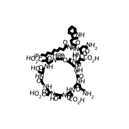 CC(C)CCCCCCCCC(=O)NC(Cc1c[nH]c2ccccc12)C(=O)NC(CC(N)=O)C(=O)NC(CC(=O)O)C(=O)NC1C(=O)NCC(=O)NC(CCCN)C(=O)NC(CC(=O)O)C(=O)NC(C)C(=O)NC(CC(=O)O)C(=O)NCC(=O)NC(CO)C(=O)NC(C(C)CC(=O)O)C(=O)NC(C(C)C)C(=O)OC1C